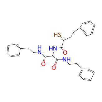 O=C(NC(C(=O)NCCc1ccccc1)C(=O)NCCc1ccccc1)C(S)CCc1ccccc1